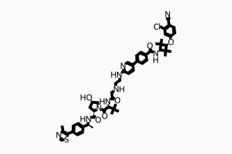 Cc1ncsc1-c1ccc([C@H](C)NC(=O)[C@@H]2C[C@@H](O)CN2C(=O)[C@@H](NC(=O)CNCCNc2ccc(-c3ccc(C(=O)N[C@H]4C(C)(C)[C@H](Oc5ccc(C#N)c(Cl)c5)C4(C)C)cc3)cn2)C(C)(C)C)cc1